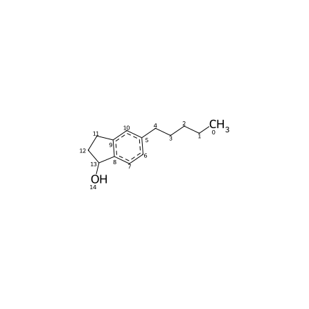 CCCCCc1ccc2c(c1)CCC2O